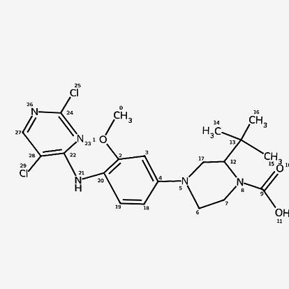 COc1cc(N2CCN(C(=O)O)C(C(C)(C)C)C2)ccc1Nc1nc(Cl)ncc1Cl